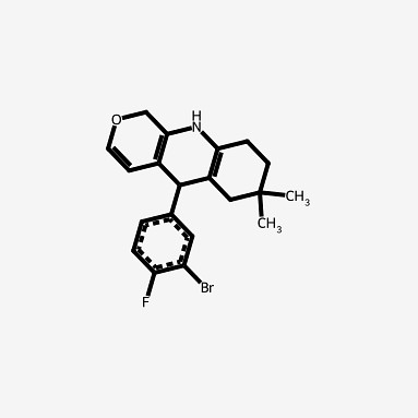 CC1(C)CCC2=C(C1)C(c1ccc(F)c(Br)c1)C1=C(COC=C1)N2